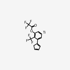 O=C(Oc1cccc(C2=CC=CC2)c1C(F)(F)F)C(F)(F)F.[Ti]